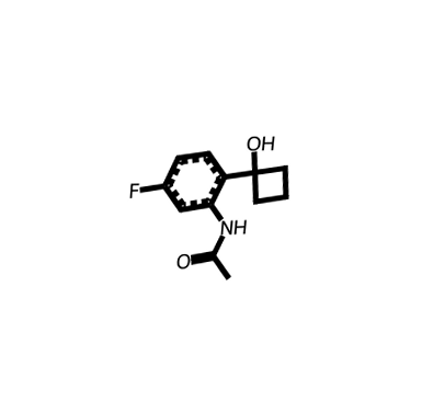 CC(=O)Nc1cc(F)ccc1C1(O)CCC1